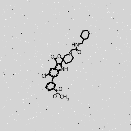 CS(=O)(=O)c1cccc(-c2cc3[nH]c4c(c3cc2Cl)C(=O)OC42CCCN(CC(=O)NCC3CCCCC3)C2)c1